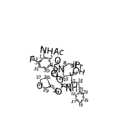 CC(=O)Nc1cc(S(=O)(=O)N(CC(C)C)C[C@H](O)C(Cc2ccccc2)NC(=O)O[C@H]2CCOC2)ccc1F